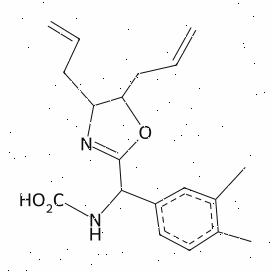 C=CCC1N=C(C(NC(=O)O)c2ccc(C)c(C)c2)OC1CC=C